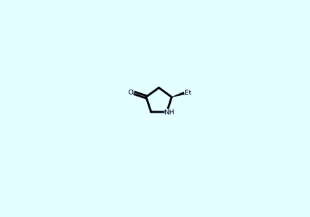 CC[C@@H]1CC(=O)CN1